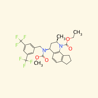 CCOC(=O)N1c2c(ccc3c2CCC3)[C@@H](N(Cc2cc(C(F)(F)F)cc(C(F)(F)F)c2)C(=O)OC)C[C@H]1C